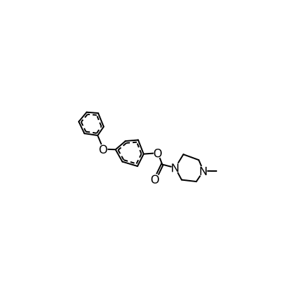 CN1CCN(C(=O)Oc2ccc(Oc3ccccc3)cc2)CC1